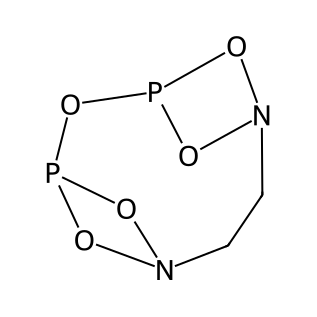 C1CN2OP(O2)OP2ON1O2